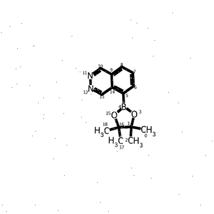 CC1(C)OB(c2cccc3cnncc23)OC1(C)C